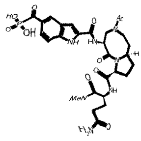 CNC(=O)[C@H](CCC(N)=O)NC(=O)[C@@H]1CC[C@@H]2CCN(C(C)=O)C[C@H](NC(=O)c3cc4cc(C(=O)P(=O)(O)O)ccc4[nH]3)C(=O)N21